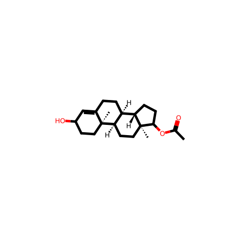 CC(=O)OC1CC[C@H]2[C@@H]3CCC4=CC(O)CC[C@]4(C)[C@@H]3CC[C@]12C